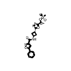 C[C@H](OS(C)(=O)=O)c1nnc([C@H]2C[C@H](NC(=O)c3cc(-c4ccccc4)on3)C2)o1